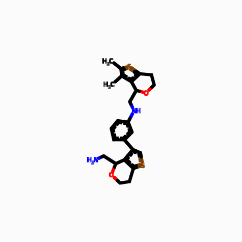 Cc1sc2c(c1C)C(CNc1cccc(-c3csc4c3C(CN)OCC4)c1)OCC2